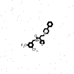 O=C(NCc1cc(C(F)(F)F)cc(C(F)(F)F)c1)C(CCN1CCC(c2ccccc2)CC1)c1ccsc1